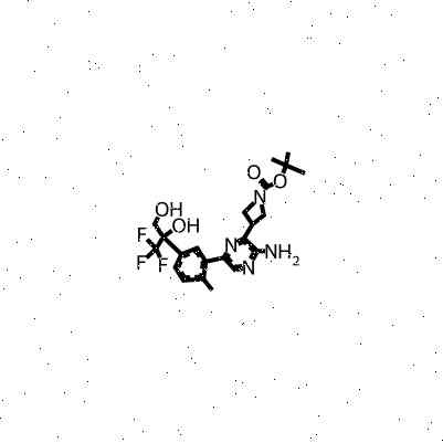 Cc1ccc(C(O)(CO)C(F)(F)F)cc1-c1cnc(N)c(C2CN(C(=O)OC(C)(C)C)C2)n1